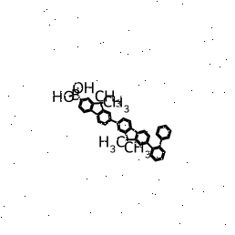 CC1(C)c2cc(B(O)O)ccc2-c2ccc(-c3ccc4c(c3)C(C)(C)c3cc(-c5ccccc5-c5ccccc5)ccc3-4)cc21